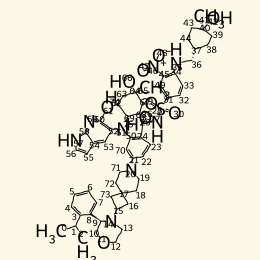 CC(C)c1ccccc1[C@@H]1COCCN1C1CC2(CCN(c3ccc(C(=O)NS(=O)(=O)c4ccc(NC[C@H]5CC[C@](C)(O)CC5)c([N+](=O)[O-])c4)c(N4c5cc6cc[nH]c6nc5O[C@H]5C[C@](C)(O)CC[C@@H]54)c3)CC2)C1